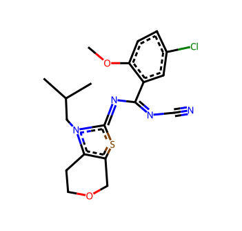 COc1ccc(Cl)cc1C(=NC#N)N=c1sc2c(n1CC(C)C)CCOC2